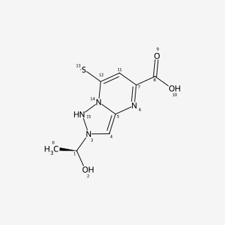 C[C@H](O)N1C=C2N=C(C(=O)O)C=C([S])N2N1